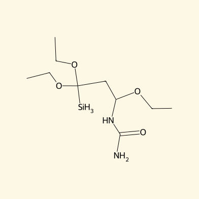 CCOC(CC([SiH3])(OCC)OCC)NC(N)=O